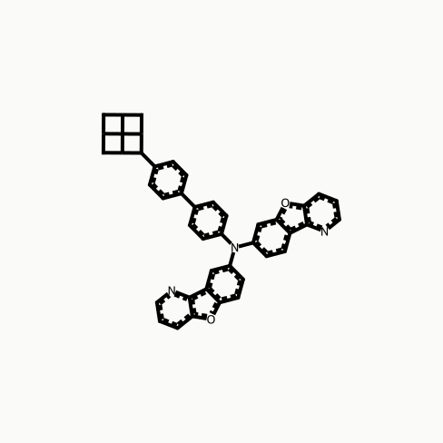 c1cnc2c(c1)oc1cc(N(c3ccc(-c4ccc(C5C6CC7CC8CC5C786)cc4)cc3)c3ccc4oc5cccnc5c4c3)ccc12